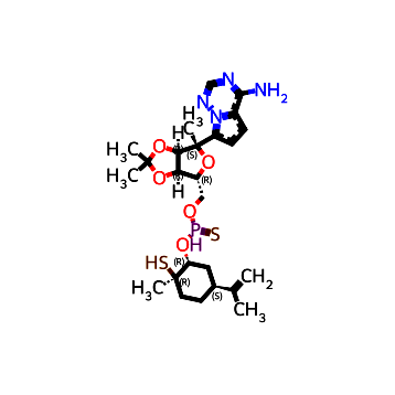 C=C(C)[C@H]1CC[C@@](C)(S)[C@H](O[PH](=S)OC[C@H]2O[C@@](C)(c3ccc4c(N)ncnn34)[C@@H]3OC(C)(C)O[C@@H]32)C1